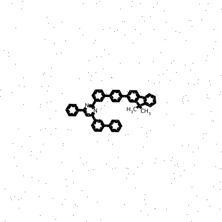 CC1(C)c2ccccc2-c2ccc(-c3ccc(-c4cccc(-c5nc(-c6ccccc6)cc(-c6cccc(-c7ccccc7)c6)n5)c4)cc3)cc21